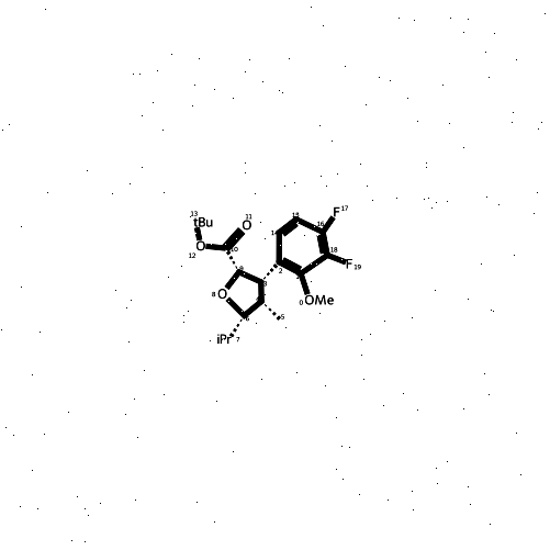 COc1c([C@@H]2[C@H](C)[C@H](C(C)C)O[C@@H]2C(=O)OC(C)(C)C)ccc(F)c1F